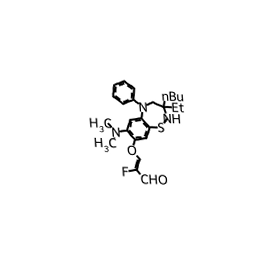 CCCCC1(CC)CN(c2ccccc2)c2cc(N(C)C)c(O/C=C(\F)C=O)cc2SN1